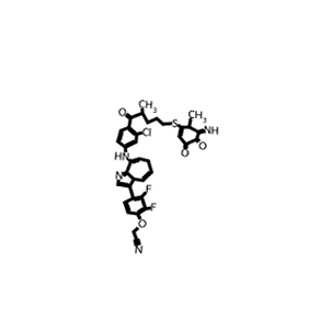 CC(CCCSC1=CC(=O)C(=O)C(=N)C1C)C(=O)c1ccc(NC2=CCC=CC3C(c4ccc(OCC#N)c(F)c4F)=CN=C23)cc1Cl